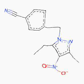 CCc1c([N+](=O)[O-])c(C)nn1Cc1ccc(C#N)cc1